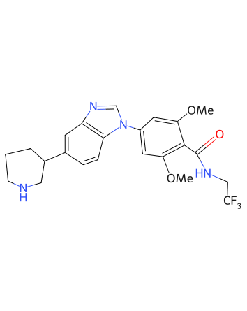 COc1cc(-n2cnc3cc(C4CCCNC4)ccc32)cc(OC)c1C(=O)NCC(F)(F)F